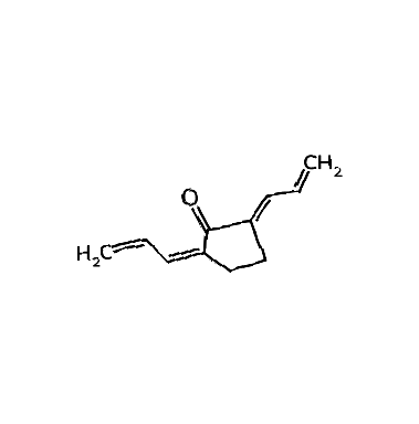 C=CC=C1CCC(=CC=C)C1=O